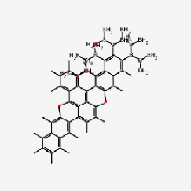 BBB(B(B)B)c1c(B(B(B)B)B(B)B)c(C)c2c(C)c(C)c(-c3c4c(c(C)c5c(-c6c(C)c(C)c7c(C)c(C)c(C)c(C)c7c6C)c(C)c(C)c(C)c35)=C(C)C(C)C(C)C=4C)c(B(B)BB)c2c1B(B)B(B)B